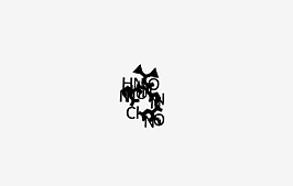 COc1ncc(Cl)cc1C(C)n1cc(NC(=O)[C@@H](NC(=O)c2ccnn2C(C)C)C(C2CC2)C2CC2)cn1